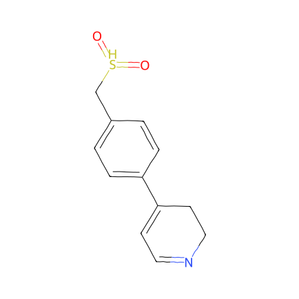 O=[SH](=O)Cc1ccc(C2=CC=NCC2)cc1